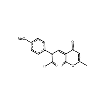 CCC(=O)N(C=C1C(=O)C=C(C)OC1=O)c1ccc(OC)cc1